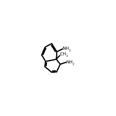 CC12C(N)=CC=CC1=CC=CC2N